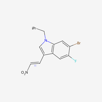 CC(C)Cn1cc(/C=C/[N+](=O)[O-])c2cc(F)c(Br)cc21